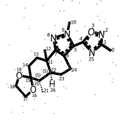 Cc1noc(-c2c3c(nn2C)C2(C)CCC4(OCCO4)[C@@H](C)[C@@H]2CC3)n1